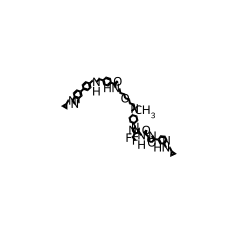 CN(CCCOCCCNC(=O)c1ccc(CNCc2ccc(-c3ccc4c(cnn4CC4CC4)c3)cc2)cc1)C[C@H]1CC[C@H](n2cc(NC(=O)c3coc(-c4ccnc(NCC5CC5)c4)n3)c(C(F)F)n2)CC1